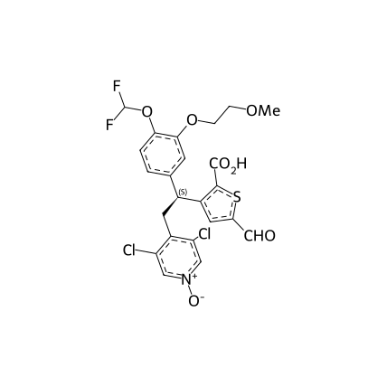 COCCOc1cc([C@H](Cc2c(Cl)c[n+]([O-])cc2Cl)c2cc(C=O)sc2C(=O)O)ccc1OC(F)F